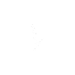 CC1(C)c2cc(-c3ccc4c(c3)C(C)(C)c3cc(-c5cc(-c6ccccc6)ccc5-c5ccc6c(c5)C(C)(C)c5ccccc5-6)ccc3-4)ccc2-c2ccc(-c3ccccn3)cc21